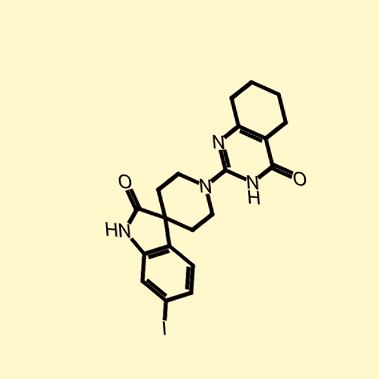 O=C1Nc2cc(I)ccc2C12CCN(c1nc3c(c(=O)[nH]1)CCCC3)CC2